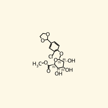 COC(=O)[C@H]1O[C@@H](Oc2ccc(C3OCCO3)cc2Cl)[C@H](O)[C@@H](O)[C@@H]1O